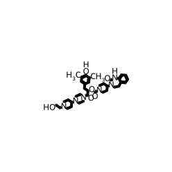 Cc1cc(CC(OC(=O)N2CCC(N3CCc4ccccc4NC3=O)CC2)C(=O)N2CCN(C3CCN(CCO)CC3)CC2)cc(C)c1O